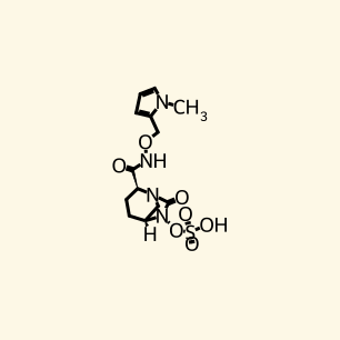 Cn1cccc1CONC(=O)[C@@H]1CC[C@@H]2CN1C(=O)N2OS(=O)(=O)O